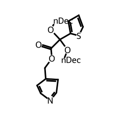 CCCCCCCCCCOC(OCCCCCCCCCC)(C(=O)OCc1ccncc1)c1cccs1